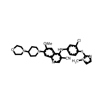 COc1cc2c(Nc3ccc(Sc4nccn4C)c(Cl)c3)c(C#N)cnc2cc1N1CCC(N2CCOCC2)CC1